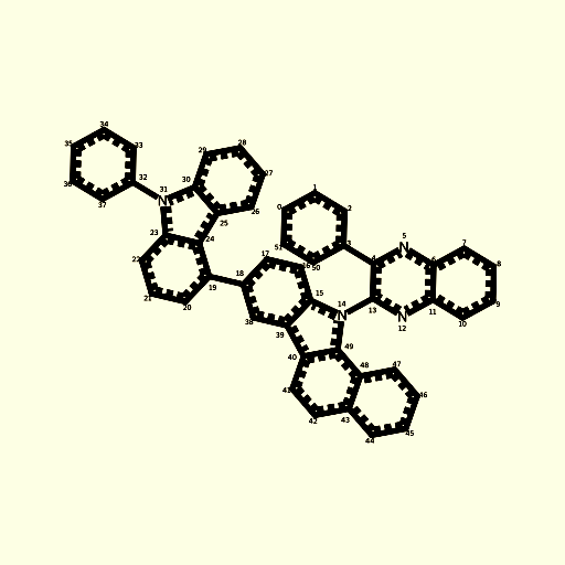 c1ccc(-c2nc3ccccc3nc2-n2c3ccc(-c4cccc5c4c4ccccc4n5-c4ccccc4)cc3c3ccc4ccccc4c32)cc1